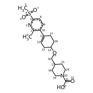 Cc1nc(S(C)(=O)=O)ccc1C1=CCC(OCC2CCN(C(=O)O)CC2)CC1